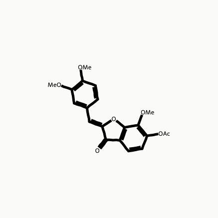 COc1ccc(C=C2Oc3c(ccc(OC(C)=O)c3OC)C2=O)cc1OC